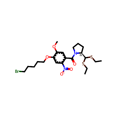 CCSC(SCC)[C@@H]1CCCN1C(=O)c1cc(OC)c(OCCCCCBr)cc1[N+](=O)[O-]